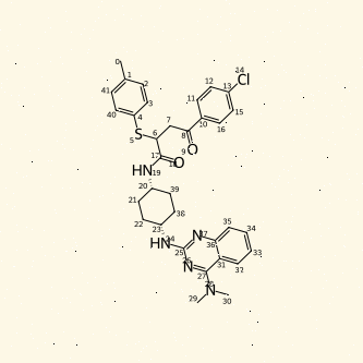 Cc1ccc(SC(CC(=O)c2ccc(Cl)cc2)C(=O)N[C@H]2CC[C@@H](Nc3nc(N(C)C)c4ccccc4n3)CC2)cc1